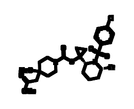 CC[C@@H]1CCC[C@H](C2(OC(=O)N3CCC(CC(=O)OC)(OC)CC3)CC2)N1S(=O)(=O)c1ccc(Cl)cc1